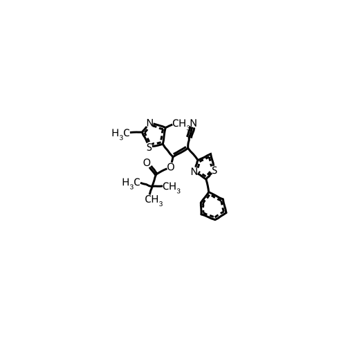 Cc1nc(C)c(C(OC(=O)C(C)(C)C)=C(C#N)c2csc(-c3ccccc3)n2)s1